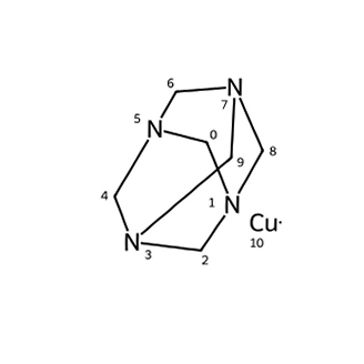 C1N2CN3CN1CN(C2)C3.[Cu]